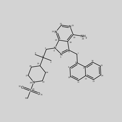 CC(C)(Cn1nc(Cc2cccc3ccccc23)c2c(N)ncnc21)C1CCN(S(C)(=O)=O)CC1